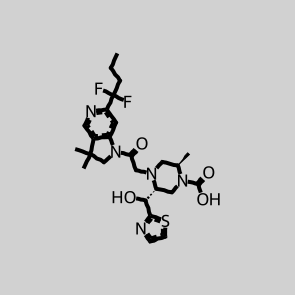 CCCC(F)(F)c1cc2c(cn1)C(C)(C)CN2C(=O)CN1C[C@@H](C)N(C(=O)O)C[C@@H]1C(O)c1nccs1